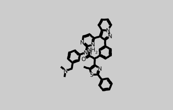 Cc1sc(-c2ccccc2)nc1C(C(N)=O)c1cccc(-c2nn3ccccc3c2-c2ccnc(Nc3cccc(CN(C)C)c3)n2)c1